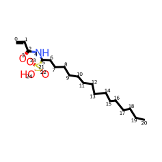 C=CC(=O)NC(CCCCCCCCCCCCCCC)S(=O)(=O)O